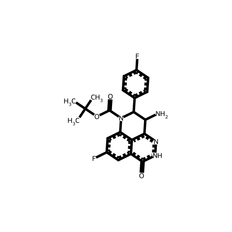 CC(C)(C)OC(=O)N1c2cc(F)cc3c(=O)[nH]nc(c23)C(N)C1c1ccc(F)cc1